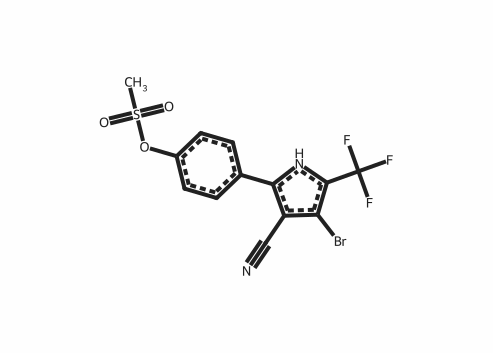 CS(=O)(=O)Oc1ccc(-c2[nH]c(C(F)(F)F)c(Br)c2C#N)cc1